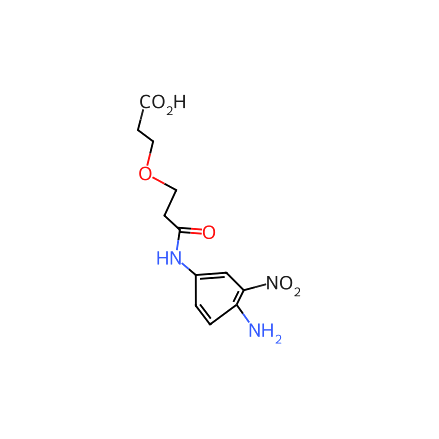 Nc1ccc(NC(=O)CCOCCC(=O)O)cc1[N+](=O)[O-]